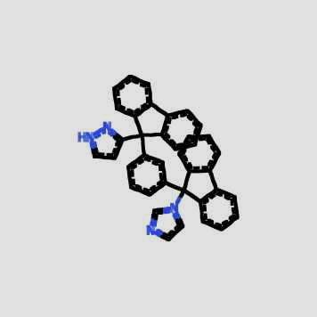 c1cc(C2(c3cc[nH]n3)c3ccccc3-c3ccccc32)cc(C2(n3ccnc3)c3ccccc3-c3ccccc32)c1